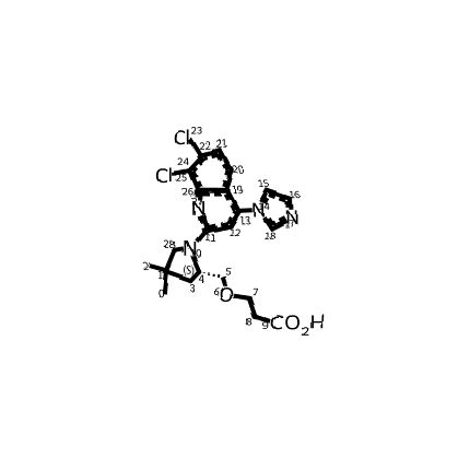 CC1(C)C[C@@H](COCCC(=O)O)N(c2cc(-n3ccnc3)c3ccc(Cl)c(Cl)c3n2)C1